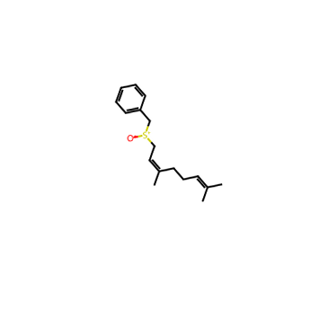 CC(C)=CCCC(C)=CC[S+]([O-])Cc1ccccc1